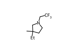 CCC1(C)CCN(CC(F)(F)F)C1